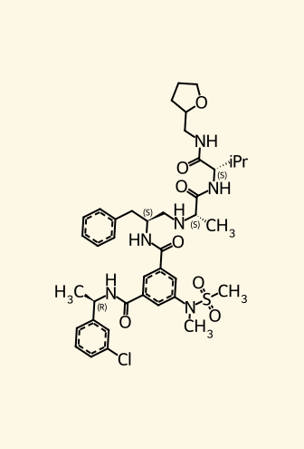 CC(C)[C@H](NC(=O)[C@H](C)NC[C@H](Cc1ccccc1)NC(=O)c1cc(C(=O)N[C@H](C)c2cccc(Cl)c2)cc(N(C)S(C)(=O)=O)c1)C(=O)NCC1CCCO1